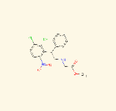 COC(=O)CNCC(c1ccccc1Cl)c1cc(Cl)ccc1[N+](=O)[O-]